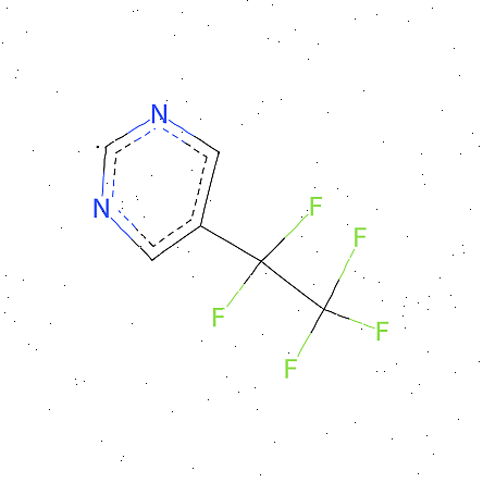 FC(F)(F)C(F)(F)c1cn[c]nc1